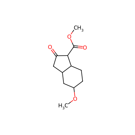 COC(=O)C1C(=O)CC2CC(OC)CCC21